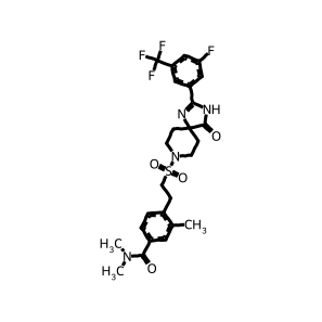 Cc1cc(C(=O)N(C)C)ccc1CCS(=O)(=O)N1CCC2(CC1)N=C(c1cc(F)cc(C(F)(F)F)c1)NC2=O